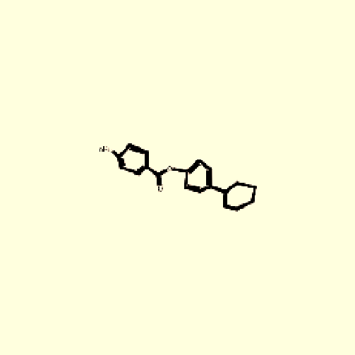 CCCCc1ccc(C(=O)Oc2ccc(C3CCCCC3)cc2)cc1